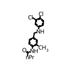 CCCC(=O)Nc1ccc(CNc2ccc(Cl)c(Cl)c2)cc1C